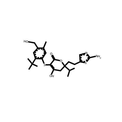 Cc1cc(SC2=C(O)CC(CCc3cnc(N)s3)(C(C)C)OC2=O)c(C(C)(C)C)cc1CO